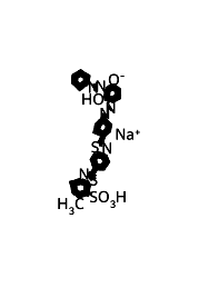 Cc1ccc2nc(-c3ccc4nc(-c5ccc(N=Nc6ccc([O-])c(N=Nc7ccccc7)c6O)cc5)sc4c3)sc2c1S(=O)(=O)O.[Na+]